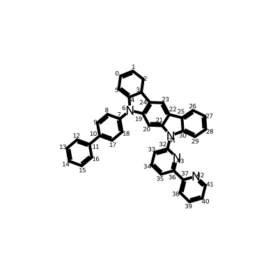 C1=CCC2C(=C1)N(c1ccc(-c3ccccc3)cc1)c1cc3c(cc12)c1ccccc1n3-c1cccc(-c2ccccn2)n1